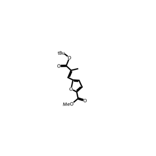 COC(=O)c1ccc(/C=C(\C)C(=O)OC(C)(C)C)o1